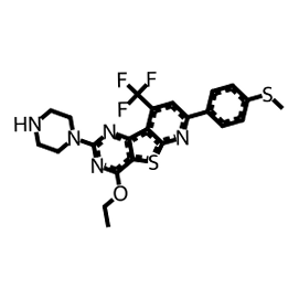 CCOc1nc(N2CCNCC2)nc2c1sc1nc(-c3ccc(SC)cc3)cc(C(F)(F)F)c12